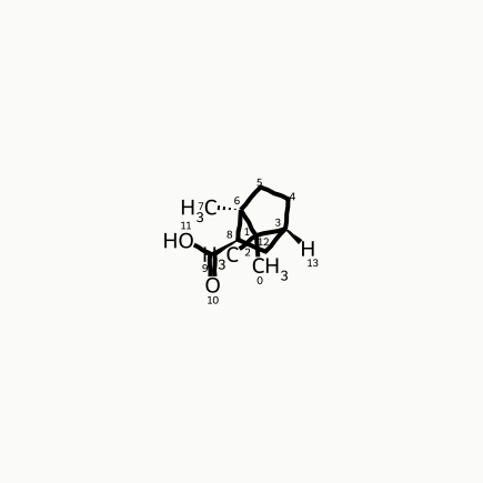 CC1(C)[C@@H]2CC[C@]1(C)[C@H](C(=O)O)C2